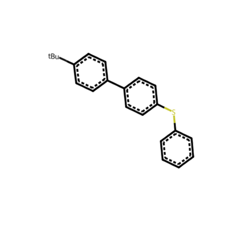 CC(C)(C)c1ccc(-c2ccc(Sc3ccccc3)cc2)cc1